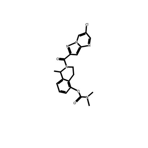 CC1c2cccc(OC(=O)N(C)C)c2CCN1C(=O)c1cc2ncc(Cl)cn2n1